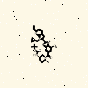 C=Cc1ccc2cc(-c3nc4cc(C(=O)N5C[C@H](NC(=O)OC(C)(C)C)CC[C@@H]5C)cc(OC)c4n3C)n(CC3CC3)c2n1